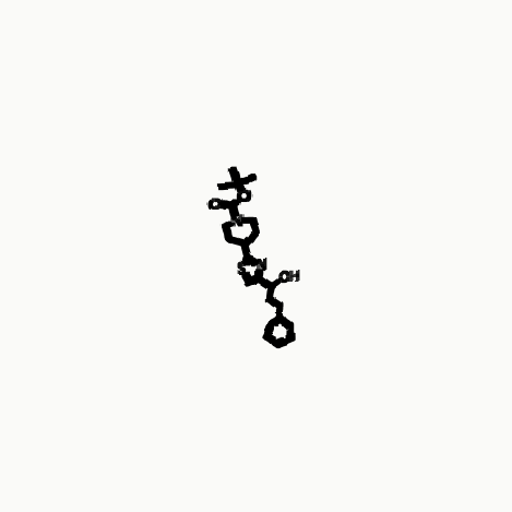 CC(C)(C)OC(=O)N1CCC(c2nc(C(O)CCc3ccccc3)cs2)CC1